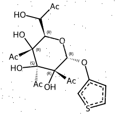 CC(=O)C(O)[C@H]1O[C@H](Oc2ccsc2)[C@@](O)(C(C)=O)[C@](O)(C(C)=O)[C@@]1(O)C(C)=O